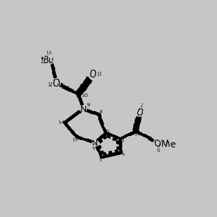 COC(=O)c1ccn2c1CN(C(=O)OC(C)(C)C)CC2